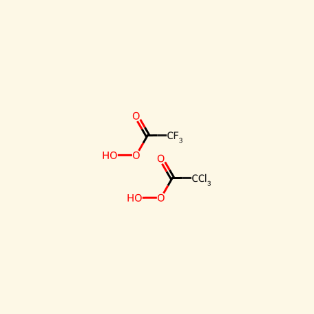 O=C(OO)C(Cl)(Cl)Cl.O=C(OO)C(F)(F)F